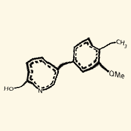 COc1cc(-c2ccc(O)nc2)ccc1C